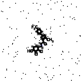 Cc1nc(-c2ccc(C(F)(F)F)cc2)sc1C(=O)/C=C/c1ccc(O)c(Cl)c1Cl